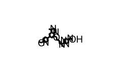 COc1ccc(-c2cc(OCCCN(C)C3=NCC(=NO)C=N3)c3ncnc(C)c3c2)cn1